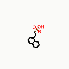 O=S(=O)(O)CCc1cccc2ccccc12